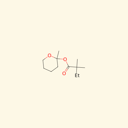 CCC(C)(C)C(=O)OC1(C)CCCCO1